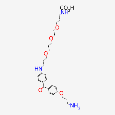 NCCCOc1ccc(C(=O)c2ccc(NCCCOCCCOCCOCCCNC(=O)O)cc2)cc1